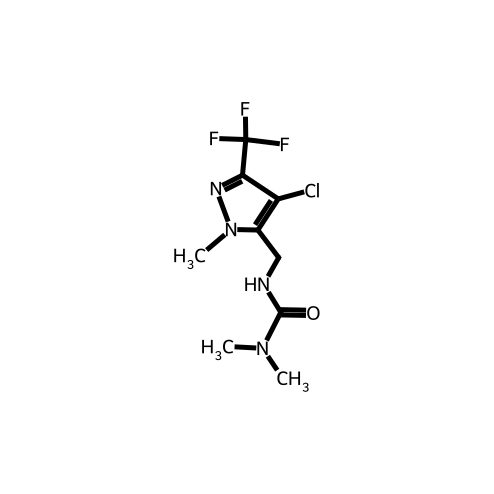 CN(C)C(=O)NCc1c(Cl)c(C(F)(F)F)nn1C